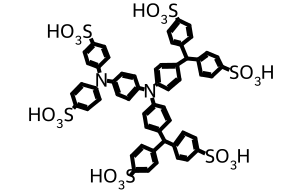 O=S(=O)(O)c1ccc(C(c2ccc(N(c3ccc(C(c4ccc(S(=O)(=O)O)cc4)c4ccc(S(=O)(=O)O)cc4)cc3)c3ccc(N(c4ccc(S(=O)(=O)O)cc4)c4ccc(S(=O)(=O)O)cc4)cc3)cc2)c2ccc(S(=O)(=O)O)cc2)cc1